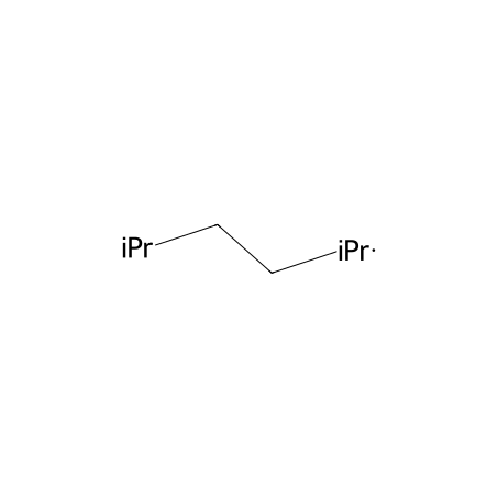 [CH2]C(C)CC[C](C)C